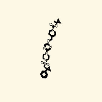 CC1(OC(=O)N2CCC(COc3cnc(N4CCN(S(=O)(=O)CC5(c6ccccc6)CC5)CC4)cn3)CC2)CC1